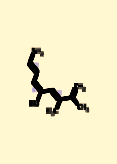 C=C(C)/C(C)=C/C(O)=C\C=C\N